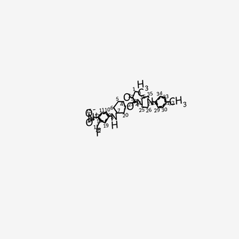 CCC(OC1CCC(Nc2ccc([N+](=O)[O-])c(CF)c2)CC1)C(=O)N1CCN(c2ccc(C)cc2)CC1